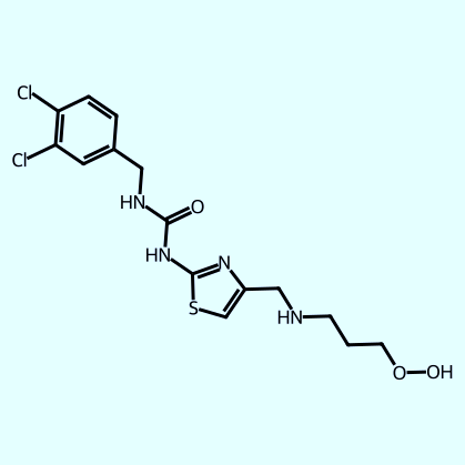 O=C(NCc1ccc(Cl)c(Cl)c1)Nc1nc(CNCCCOO)cs1